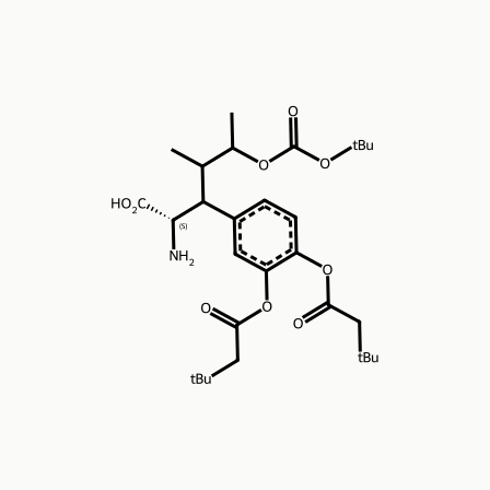 CC(OC(=O)OC(C)(C)C)C(C)C(c1ccc(OC(=O)CC(C)(C)C)c(OC(=O)CC(C)(C)C)c1)[C@H](N)C(=O)O